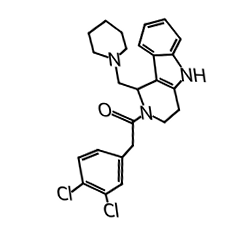 O=C(Cc1ccc(Cl)c(Cl)c1)N1CCc2[nH]c3ccccc3c2C1CN1CCCCC1